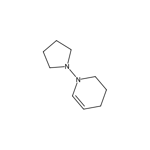 C1=CN(N2CCCC2)CCC1